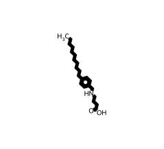 CCCCCCCCCCCc1ccc(CNCCCC(=O)O)cc1